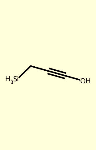 OC#CC[SiH3]